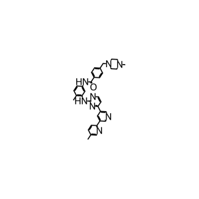 Cc1ccc(-c2cncc(-c3ccnc(Nc4cc(NC(=O)c5ccc(CN6CCN(C)CC6)cc5)ccc4C)n3)c2)nc1